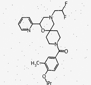 Cc1cc(C(=O)N2CCC3(CC2)CN(CC(F)F)CC(c2ccccn2)O3)ccc1OC(C)C